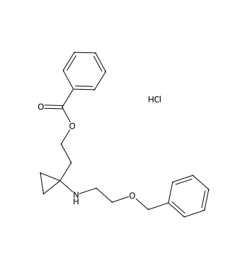 Cl.O=C(OCCC1(NCCOCc2ccccc2)CC1)c1ccccc1